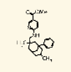 COC(=O)c1ccc(NCC2(C)CC3CC(C)CC(c4ccccc4)(C3)C2)nc1